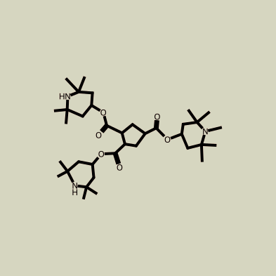 CN1C(C)(C)CC(OC(=O)C2CC(C(=O)OC3CC(C)(C)NC(C)(C)C3)C(C(=O)OC3CC(C)(C)NC(C)(C)C3)C2)CC1(C)C